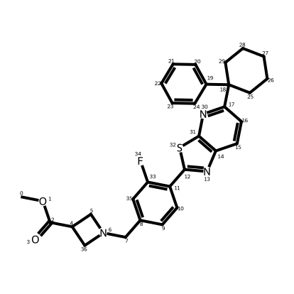 COC(=O)C1CN(Cc2ccc(-c3nc4ccc(C5(c6ccccc6)CCCCC5)nc4s3)c(F)c2)C1